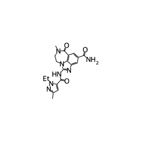 CCn1nc(C)cc1C(=O)Nc1nc2cc(C(N)=O)cc3c2n1CCN(C)C3=O